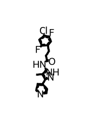 Cc1c(-c2ccncc2)n[nH]c1NC(=O)CCc1cc(F)c(Cl)cc1F